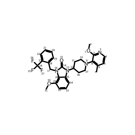 COc1nccc(C)c1N1CCC(n2c(=O)n(Cc3ccccc3C(F)(F)F)c3c(OC)cccc32)CC1